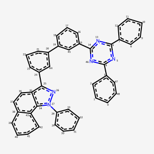 c1ccc(-c2nc(-c3ccccc3)nc(-c3cccc(-c4cccc(-c5nn(-c6ccccc6)c6c5ccc5ccccc56)c4)c3)n2)cc1